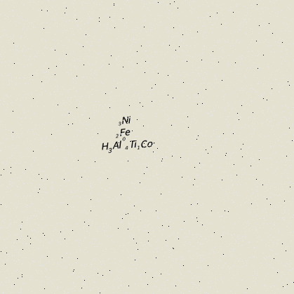 [AlH3].[Co].[Fe].[Ni].[Ti]